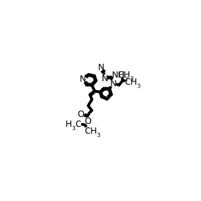 CC(C)CN(C(N)=NC#N)c1cccc(/C(=C\CCCC(=O)OC(C)C)c2cccnc2)c1